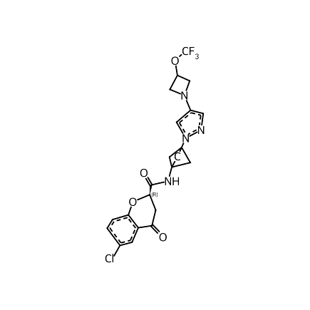 O=C1C[C@H](C(=O)NC23CC(n4cc(N5CC(OC(F)(F)F)C5)cn4)(C2)C3)Oc2ccc(Cl)cc21